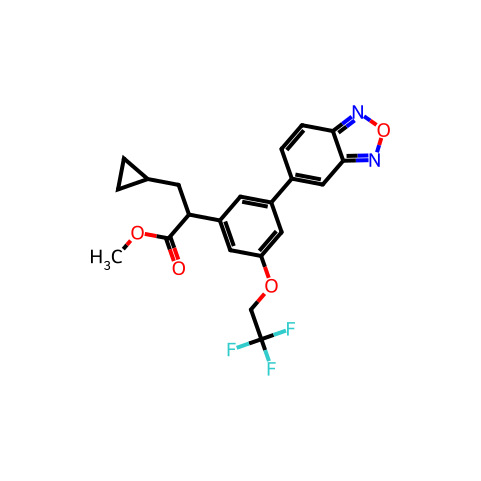 COC(=O)C(CC1CC1)c1cc(OCC(F)(F)F)cc(-c2ccc3nonc3c2)c1